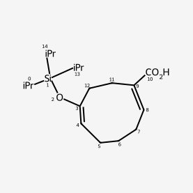 CC(C)[Si](O/C1=C/CCC/C=C(/C(=O)O)CC1)(C(C)C)C(C)C